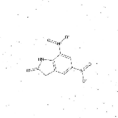 O=C1Cc2cc([N+](=O)[O-])cc([N+](=O)[O-])c2N1